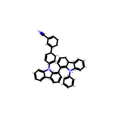 N#CC1=CCCC(C2C=CC(n3c4ccccc4c4cccc(C5=C6C(CC=C5)c5ccccc5N6c5ccccc5)c43)=CC2)=C1